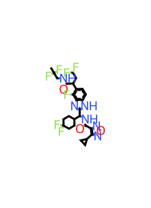 CC(F)(F)CNC(=O)C(CC(F)F)c1ccc2[nH]c(C(NC(=O)c3nonc3C3CC3)C3CCC(F)(F)CC3)nc2c1F